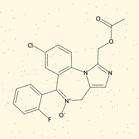 CC(=O)OCc1ncc2n1-c1ccc(Cl)cc1C(c1ccccc1F)=[N+]([O-])C2